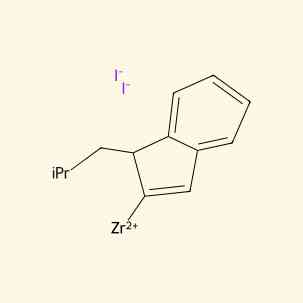 CC(C)CC1[C]([Zr+2])=Cc2ccccc21.[I-].[I-]